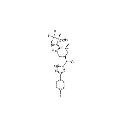 C[C@H]1CN(C(=O)c2cc(-c3ccc(F)cc3)n[nH]2)Cc2cnc([C@@](C)(O)C(F)(F)F)n21